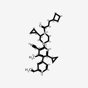 C=Cc1cc(-c2c(C3CC3)nc(N3CCN(C(=O)CCC4CCC4)C(C4CC4)C3)c(C#N)c2C)ccn1